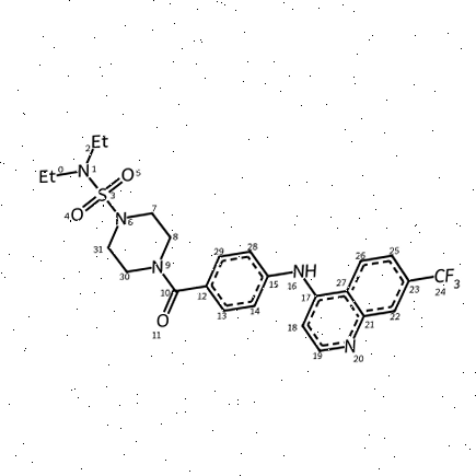 CCN(CC)S(=O)(=O)N1CCN(C(=O)c2ccc(Nc3ccnc4cc(C(F)(F)F)ccc34)cc2)CC1